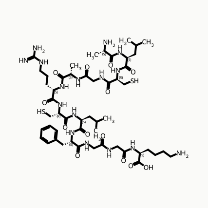 CC(C)C[C@H](NC(=O)[C@H](C)N)C(=O)N[C@@H](CS)C(=O)NCC(=O)N[C@@H](C)C(=O)N[C@@H](CCCNC(=N)N)C(=O)N[C@@H](CS)C(=O)N[C@@H](CC(C)C)C(=O)N[C@@H](Cc1ccccc1)C(=O)NCC(=O)NCC(=O)N[C@@H](CCCCN)C(=O)O